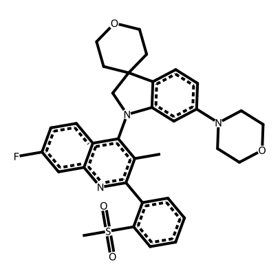 Cc1c(-c2ccccc2S(C)(=O)=O)nc2cc(F)ccc2c1N1CC2(CCOCC2)c2ccc(N3CCOCC3)cc21